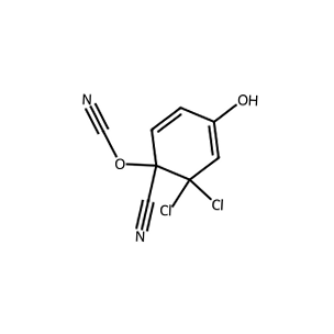 N#COC1(C#N)C=CC(O)=CC1(Cl)Cl